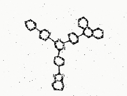 c1ccc(-c2ccc(-c3cc(-c4ccc(-c5nc6ccccc6o5)cc4)nc(-c4ccc(-c5cc6ccccc6c6ccccc56)cc4)n3)cc2)cc1